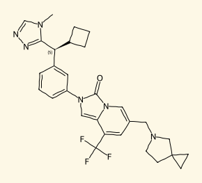 Cn1cnnc1[C@H](c1cccc(-n2cc3c(C(F)(F)F)cc(CN4CCC5(CC5)C4)cn3c2=O)c1)C1CCC1